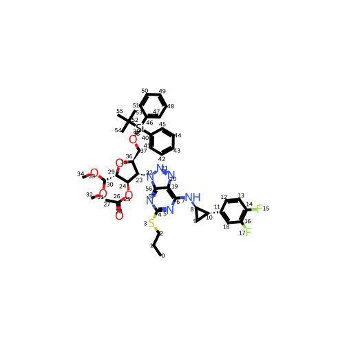 CCCSc1nc(N[C@@H]2C[C@H]2c2ccc(F)c(F)c2)c2nnn([C@@H]3[C@@H](OC(C)=O)[C@H](C(OC)OC)O[C@H]3CO[Si](c3ccccc3)(c3ccccc3)C(C)(C)C)c2n1